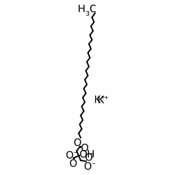 CCCCCCCCCCCCCCCCCCCCCCCCCCCCCCOC(=O)CC(O)(CC(=O)[O-])C(=O)[O-].[K+].[K+]